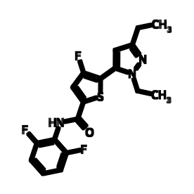 CCc1cc(-c2sc(C(=O)Nc3c(F)cccc3F)cc2F)n(CC)n1